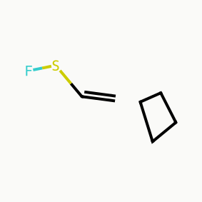 C1CCC1.C=CSF